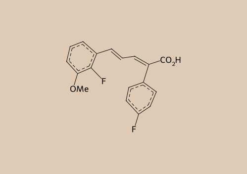 COc1cccc(C=CC=C(C(=O)O)c2ccc(F)cc2)c1F